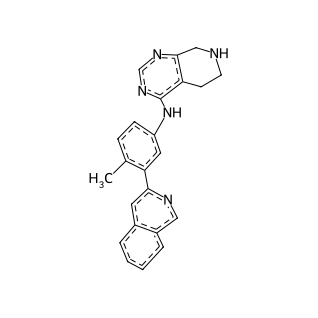 Cc1ccc(Nc2ncnc3c2CCNC3)cc1-c1cc2ccccc2cn1